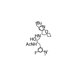 CC(=O)N[C@@H](Cc1cc(F)cc(N(C)C)c1)[C@H](O)CN[C@H]1CC2(CCC2)Oc2ncc(CC(C)(C)C)cc21